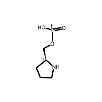 O=[PH](O)OC[C@@H]1CCCN1